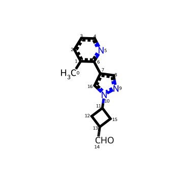 Cc1cccnc1-c1cnn(C2CC(C=O)C2)c1